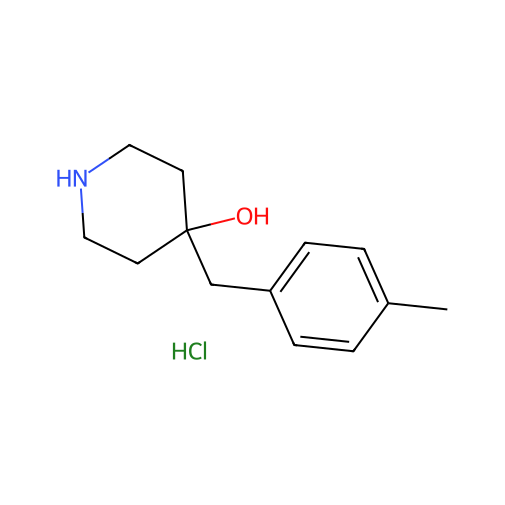 Cc1ccc(CC2(O)CCNCC2)cc1.Cl